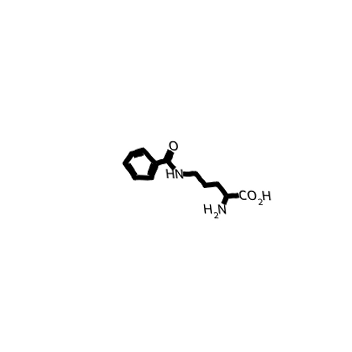 NC(CCCNC(=O)c1ccccc1)C(=O)O